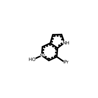 CC(C)c1c[n+](O)cc2cc[nH]c12